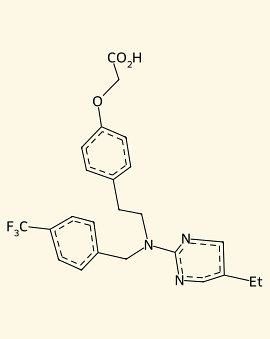 CCc1cnc(N(CCc2ccc(OCC(=O)O)cc2)Cc2ccc(C(F)(F)F)cc2)nc1